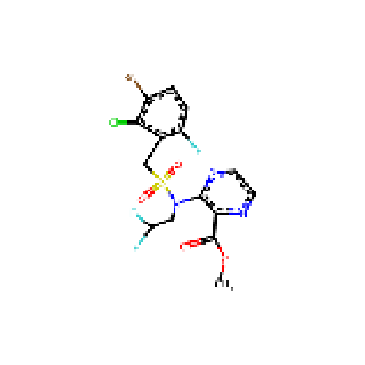 COC(=O)c1nccnc1N(CC(F)F)S(=O)(=O)Cc1c(F)ccc(Br)c1Cl